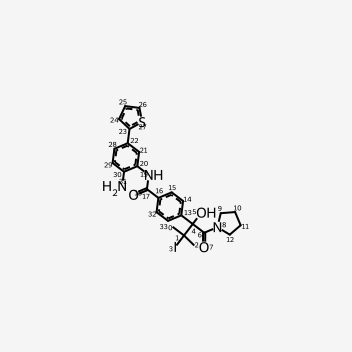 CC(C)(I)C(O)(C(=O)N1CCCC1)c1ccc(C(=O)Nc2cc(-c3cccs3)ccc2N)cc1